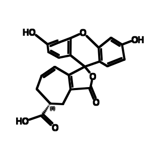 O=C1OC2(C3=C1C[C@H](C(=O)O)CC=C3)c1ccc(O)cc1Oc1cc(O)ccc12